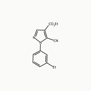 CCOC(=O)c1cnn(-c2cccc(CC)c2)c1C#N